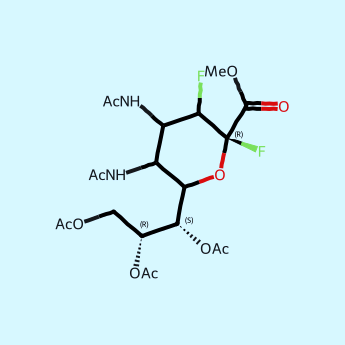 COC(=O)[C@]1(F)OC([C@H](OC(C)=O)[C@@H](COC(C)=O)OC(C)=O)C(NC(C)=O)C(NC(C)=O)C1F